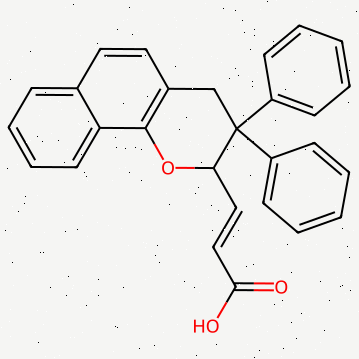 O=C(O)C=CC1Oc2c(ccc3ccccc23)CC1(c1ccccc1)c1ccccc1